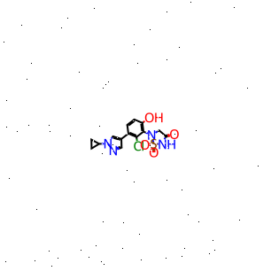 O=C1CN(c2c(O)ccc(-c3cnn(C4CC4)c3)c2Cl)S(=O)(=O)N1